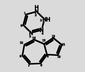 C1=CNNN=N1.c1ccc2cccc-2cc1